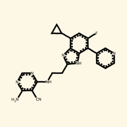 N#Cc1c(N)ncnc1NCCc1nc2c(C3CC3)cc(F)c(-c3cccnc3)c2[nH]1